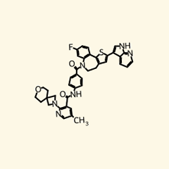 Cc1cnc(N2CC3(CCOCC3)C2)c(C(=O)Nc2ccc(C(=O)N3CCc4cc(-c5c[nH]c6ncccc56)sc4-c4ccc(F)cc43)cc2)c1